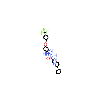 O=C(Nc1nc2cc(OCc3ccc(C(F)(F)F)cc3)ccc2[nH]1)c1cn2cc(-c3ccccc3)ccc2n1